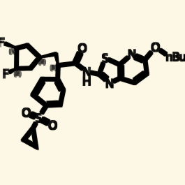 CCCCOc1ccc2nc(NC(=O)[C@H](C[C@H]3C[C@@H](F)[C@@H](F)C3)c3ccc(S(=O)(=O)C4CC4)cc3)sc2n1